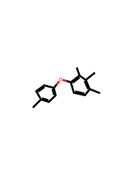 Cc1ccc(Oc2ccc(C)c(C)c2C)cc1